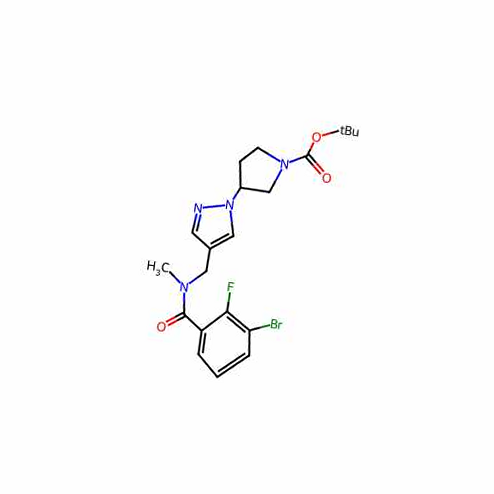 CN(Cc1cnn(C2CCN(C(=O)OC(C)(C)C)C2)c1)C(=O)c1cccc(Br)c1F